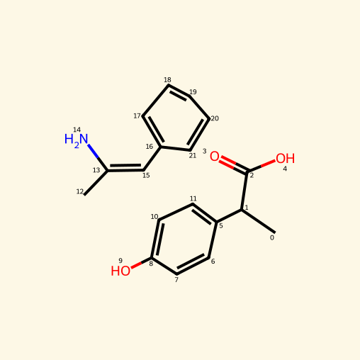 CC(C(=O)O)c1ccc(O)cc1.CC(N)=Cc1ccccc1